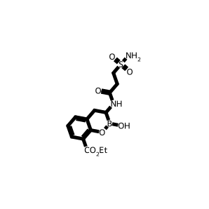 CCOC(=O)c1cccc2c1OB(O)C(NC(=O)CCS(N)(=O)=O)C2